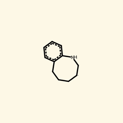 [CH]1CCCc2ccccc2NC1